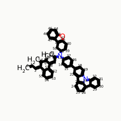 C=C/C=c1\c(=C)c(=C)/c(=C\C(=C)N(c2ccc(-c3ccc4c(c3)c3cccc5c6ccccc6n4c53)cc2)C2C=Cc3oc4ccccc4c3C2)c2ccccc12